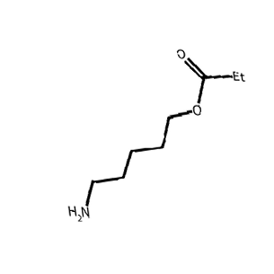 CCC(=O)OCCCCCN